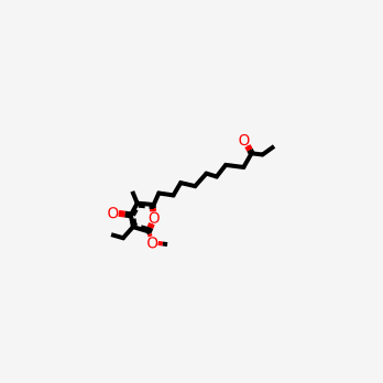 CCC(=O)CCCCCCCCc1oc(OC)c(CC)c(=O)c1C